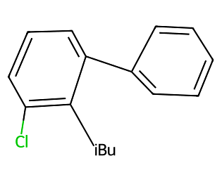 CCC(C)c1c(Cl)cccc1-c1ccccc1